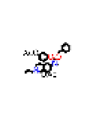 C=CCN1CC[C@@]2(c3cccc(OC(C)=O)c3)C[C@H](N(C)C(=O)OCc3ccccc3)CC[C@]2(OC(C)=O)C1